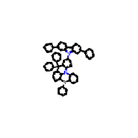 c1ccc(B2c3ccccc3N3c4ccc(-n5c6cc(-c7ccccc7)ccc6c6ccc(-c7ccccc7)cc65)cc4C(c4ccccc4)(c4ccccc4)c4cccc2c43)cc1